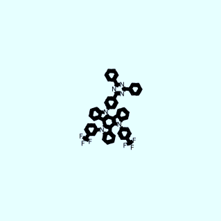 FC(F)(F)c1ccc(-n2c3ccccc3c3c2c2c4ccccc4n(-c4cccc(C(F)(F)F)c4)c2c2c4ccccc4n(-c4ccc(-c5nc(-c6ccccc6)nc(-c6ccccc6)n5)cc4)c32)cc1